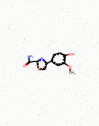 COc1cc(-c2csc(C(N)=O)n2)ccc1O